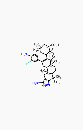 CC1(C)CC2C3=C(c4ccc(N)c(F)c4)CC4[C@@]5(C)Cc6c(n[nH]c6N)C(C)(C)C5CC[C@@]4(C)[C@]3(C)CC[C@@H]2[C@H](C(=O)O)C1